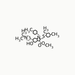 CCOC(=O)c1c(CSc2ccc(C)cc2C)n(Cc2ccc(C)cc2)c2cc(C3=CCN(C(C)C)CC3)c(O)cc12